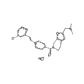 CN(C)Cc1cc2c(o1)CN(C(=O)c1ccc(C=Cc3cccc(Cl)c3)cc1)CC2.Cl